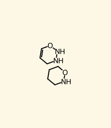 C1=CONNC1.C1CCONC1